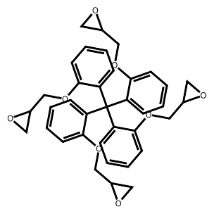 c1ccc(C(c2ccccc2OCC2CO2)(c2ccccc2OCC2CO2)c2ccccc2OCC2CO2)c(OCC2CO2)c1